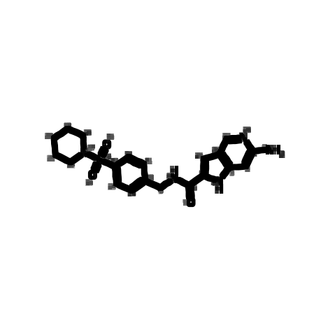 Nc1cc2[nH]c(C(=O)NCc3ccc(S(=O)(=O)N4CCCCC4)cc3)cc2cn1